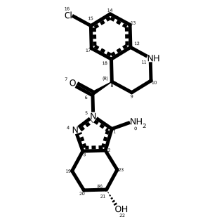 Nc1c2c(nn1C(=O)[C@@H]1CCNc3ccc(Cl)cc31)CC[C@@H](O)C2